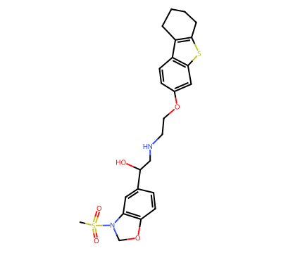 CS(=O)(=O)N1COc2ccc(C(O)CNCCOc3ccc4c5c(sc4c3)CCCC5)cc21